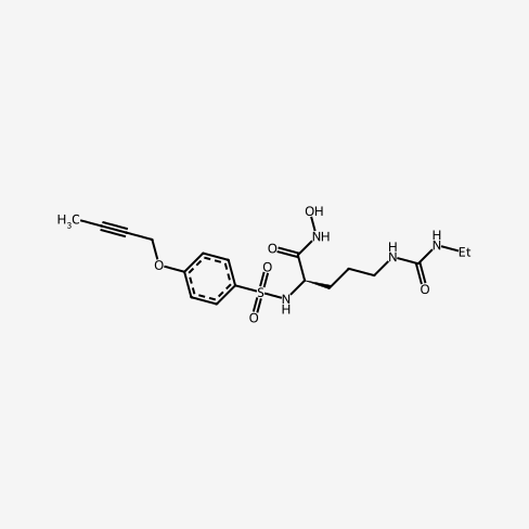 CC#CCOc1ccc(S(=O)(=O)N[C@H](CCCNC(=O)NCC)C(=O)NO)cc1